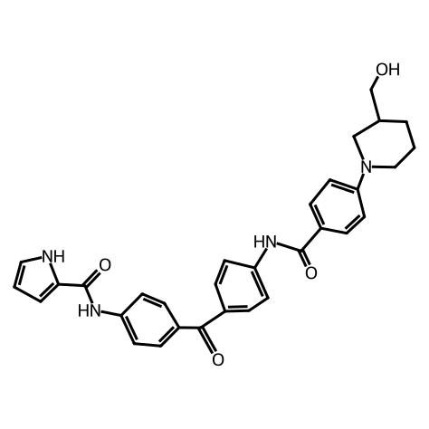 O=C(Nc1ccc(C(=O)c2ccc(NC(=O)c3ccc[nH]3)cc2)cc1)c1ccc(N2CCCC(CO)C2)cc1